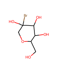 OCC1OCC(O)(Br)C(O)C1O